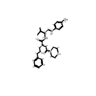 CC(C)[C@@H](CNc1ccc(O)cc1)NC(=O)[C@H](CCCc1ccccc1)CC(=O)N1CCOCC1